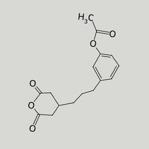 CC(=O)Oc1cccc(CCCC2CC(=O)OC(=O)C2)c1